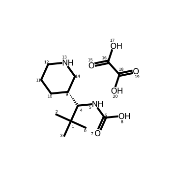 CC(C)(C)C(NC(=O)O)[C@@H]1CCCNC1.O=C(O)C(=O)O